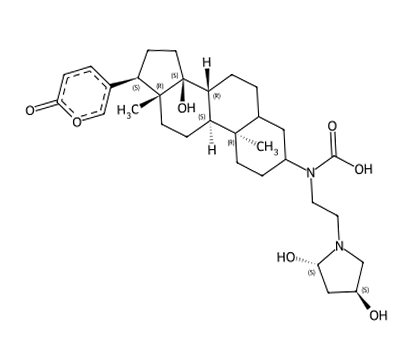 C[C@@]12CCC(N(CCN3C[C@@H](O)C[C@@H]3O)C(=O)O)CC1CC[C@@H]1[C@@H]2CC[C@]2(C)[C@@H](c3ccc(=O)oc3)CC[C@]12O